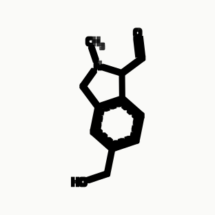 CN1Cc2cc(CO)ccc2C1C=O